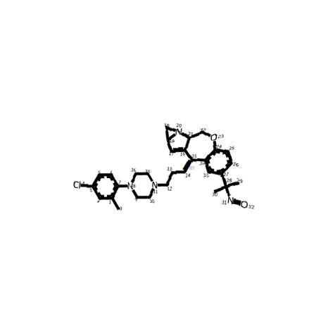 Cc1cc(Cl)ccc1N1CCN(CC/C=C2\C3=CC4CN4C3COc3ccc(C(C)(C)N=O)cc32)CC1